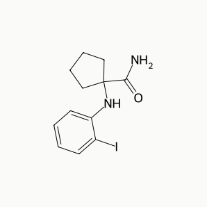 NC(=O)C1(Nc2ccccc2I)CCCC1